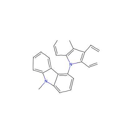 C=Cc1c(C)c(/C=C\C)n(-c2cccc3c2c2ccccc2n3C)c1C=C